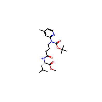 COC(=O)[C@H](CC(C)C)NC(=O)CCCN(C(=O)OC(C)(C)C)c1cc(C)ccn1